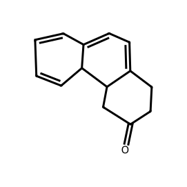 O=C1CCC2=CC=C3C=CC=CC3C2C1